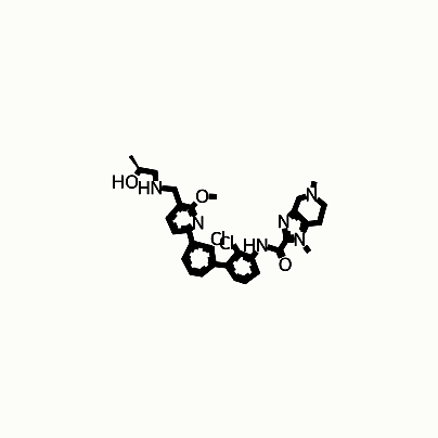 COc1nc(-c2cccc(-c3cccc(NC(=O)c4nc5c(n4C)CCN(C)C5)c3Cl)c2Cl)ccc1CNC[C@H](C)O